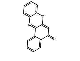 O=c1cc2oc3ccccc3nc-2c2ccccc12